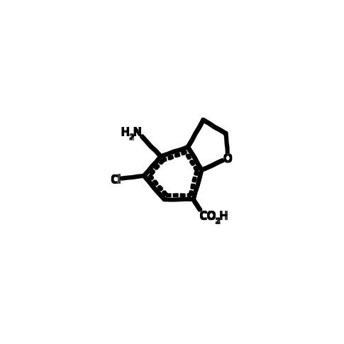 Nc1c(Cl)cc(C(=O)O)c2c1CCO2